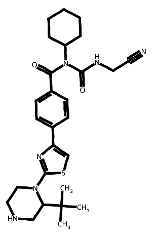 CC(C)(C)C1CNCCN1c1nc(-c2ccc(C(=O)N(C(=O)NCC#N)C3CCCCC3)cc2)cs1